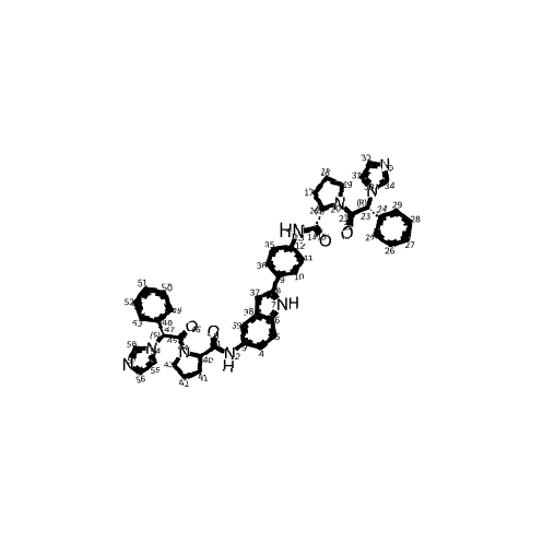 O=C(Nc1ccc2[nH]c(-c3ccc(NC(=O)[C@@H]4CCCN4C(=O)[C@@H](c4ccccc4)n4ccnc4)cc3)cc2c1)C1CCCN1C(=O)[C@H](c1ccccc1)n1ccnc1